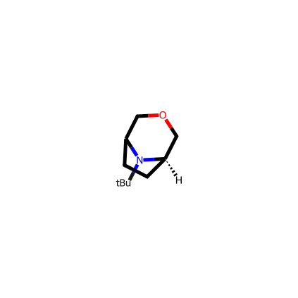 CC(C)(C)N1C2CC[C@@H]1COC2